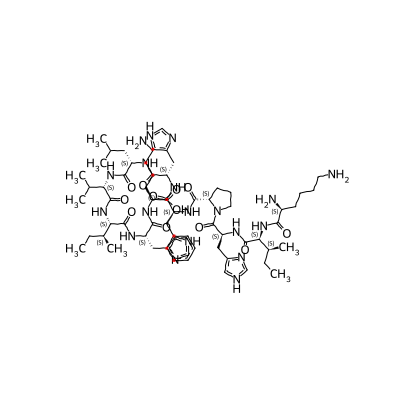 CC[C@H](C)[C@H](NC(=O)[C@@H](NC(=O)[C@H](CC(C)C)NC(=O)[C@H](Cc1c[nH]cn1)NC(=O)[C@H](Cc1ccccc1)NC(=O)[C@@H]1CCCN1C(=O)[C@H](Cc1c[nH]cn1)NC(=O)[C@@H](NC(=O)[C@@H](N)CCCCN)[C@@H](C)CC)C(C)C)C(=O)N[C@@H](Cc1c[nH]cn1)C(=O)N[C@@H](CCCCN)C(=O)O